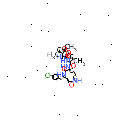 COC(=O)C(NC(=O)N[C@H](C(=O)N[C@H]1CCCCNC(=O)/C=C/[C@H](Cc2ccc(Cl)cc2)NC1=O)C(C)C)C(C)C